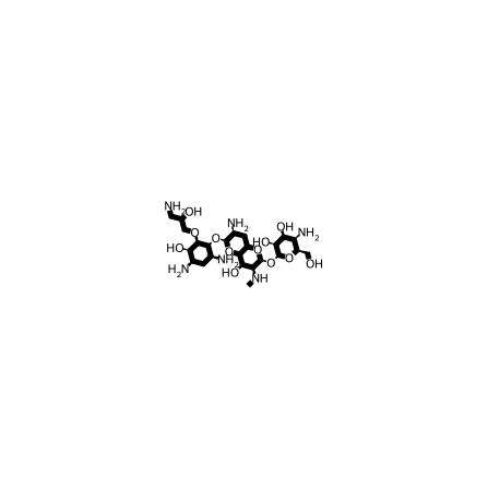 CN[C@@H]1[C@@H](O[C@H]2O[C@H](CO)[C@@H](N)[C@H](O)[C@H]2O)OC2C[C@@H](N)[C@@H](O[C@H]3[C@H](OCC(O)CN)[C@@H](O)[C@H](N)C[C@@H]3N)OC2[C@@H]1O